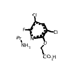 CC(C)N.O=C(O)COc1nc(F)c(Cl)cc1Cl